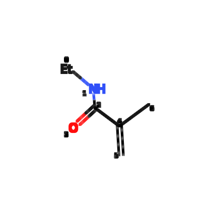 [CH2]CNC(=O)C(=C)C